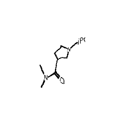 CC(C)N1CCC(C(=O)N(C)C)C1